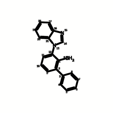 Bc1c(-c2ccccc2)cccc1-n1cnc2ccccc21